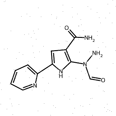 NC(=O)c1cc(-c2ccccn2)[nH]c1N(N)C=O